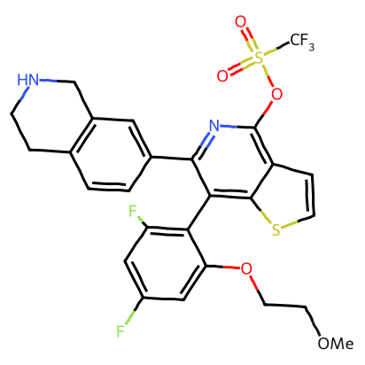 COCCOc1cc(F)cc(F)c1-c1c(-c2ccc3c(c2)CNCC3)nc(OS(=O)(=O)C(F)(F)F)c2ccsc12